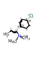 CC=C([C@@H]1C=C[C@H](Cl)CC1)N(C)OC